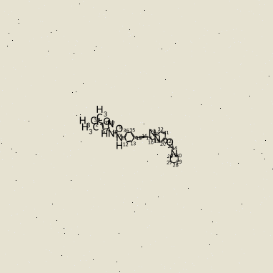 CC(C)(C)c1cc(NC(=O)Nc2ccc(C#Cc3cn4cc(OCCN5CCCCC5)ccc4n3)cc2)no1